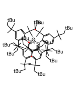 CC(C)(C)CC(C)(C)c1cc(C(C)(C)CC(C)(C)C)c([SiH](O[SiH](c2c(C(C)(C)CC(C)(C)C)cc(C(C)(C)CC(C)(C)C)cc2C(C)(C)CC(C)(C)C)c2c(C(C)(C)CC(C)(C)C)cc(C(C)(C)CC(C)(C)C)cc2C(C)(C)CC(C)(C)C)c2c(C(C)(C)CC(C)(C)C)cc(C(C)(C)CC(C)(C)C)cc2C(C)(C)CC(C)(C)C)c(C(C)(C)CC(C)(C)C)c1